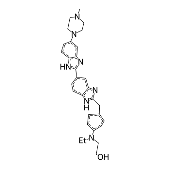 CCN(CCO)c1ccc(Cc2nc3cc(-c4nc5cc(N6CCN(C)CC6)ccc5[nH]4)ccc3[nH]2)cc1